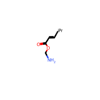 CC(C)C=CC(=O)OCN